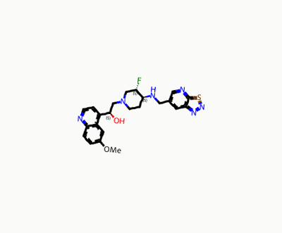 COc1ccc2nccc([C@H](O)CN3CC[C@H](NCc4cnc5snnc5c4)[C@@H](F)C3)c2c1